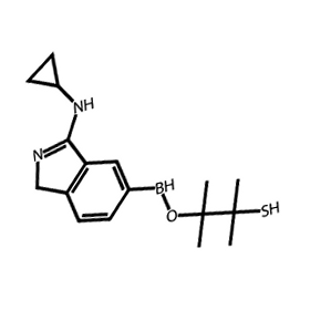 CC(C)(S)C(C)(C)OBc1ccc2c(c1)C(NC1CC1)=NC2